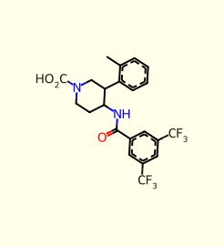 Cc1ccccc1C1CN(C(=O)O)CCC1NC(=O)c1cc(C(F)(F)F)cc(C(F)(F)F)c1